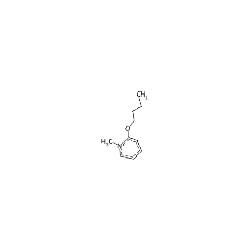 CCCCOc1cccc[n+]1C